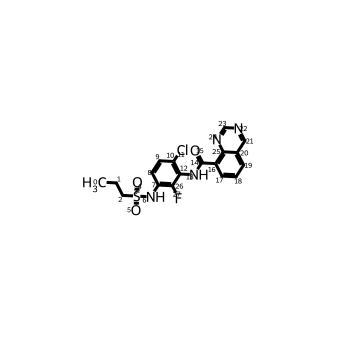 CCCS(=O)(=O)Nc1ccc(Cl)c(NC(=O)c2cccc3cncnc23)c1F